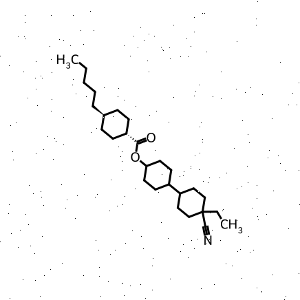 CCCCC[C@H]1CC[C@H](C(=O)OC2CCC(C3CCC(C#N)(CC)CC3)CC2)CC1